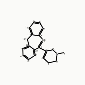 CN1CCC=C(C2=Nc3ccccc3Cc3ccccc32)C1